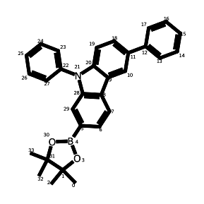 CC1(C)OB(c2ccc3c4cc(-c5ccccc5)ccc4n(-c4ccccc4)c3c2)OC1(C)C